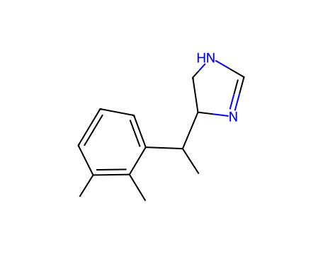 Cc1cccc(C(C)C2CNC=N2)c1C